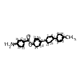 Cc1ccc(-c2ccc(-c3ccc(OC(=O)c4ccc(N)cc4)cc3)cc2)cc1